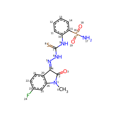 CN1C(=O)C(=NNC(=S)Nc2ccccc2S(N)(=O)=O)c2ccc(F)cc21